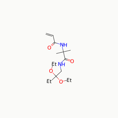 C=CC(=O)NC(C)(C)C(=O)NCC(CC)(OCC)OCC